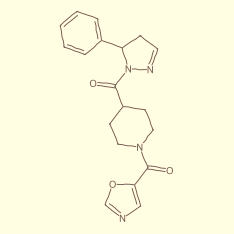 O=C(c1cnco1)N1CCC(C(=O)N2N=CCC2c2ccccc2)CC1